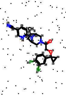 C[C@H]1CC2CN(C(=O)COC3(c4ccc(F)c(Br)c4)CC3)CC1N2c1ccc(C#N)cn1